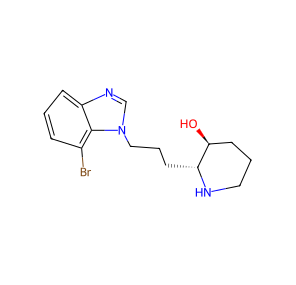 O[C@H]1CCCN[C@@H]1CCCn1cnc2cccc(Br)c21